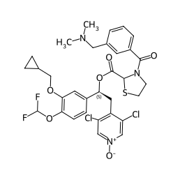 CN(C)Cc1cccc(C(=O)N2CCSC2C(=O)O[C@@H](Cc2c(Cl)c[n+]([O-])cc2Cl)c2ccc(OC(F)F)c(OCC3CC3)c2)c1